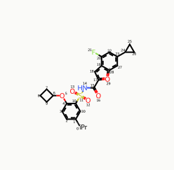 CC(C)c1ccc(OC2CCC2)c(S(=O)(=O)NC(=O)c2cc3c(F)cc(C4CC4)cc3o2)c1